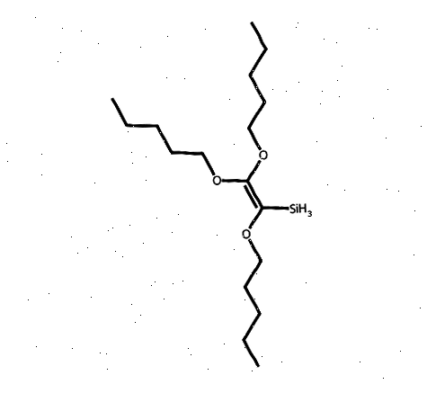 CCCCCOC([SiH3])=C(OCCCCC)OCCCCC